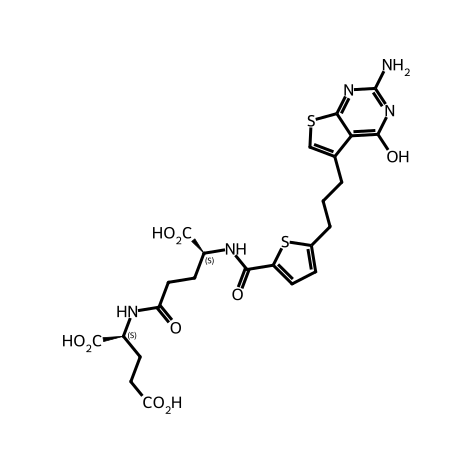 Nc1nc(O)c2c(CCCc3ccc(C(=O)N[C@@H](CCC(=O)N[C@@H](CCC(=O)O)C(=O)O)C(=O)O)s3)csc2n1